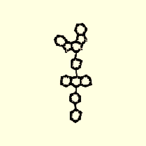 c1ccc(-c2ccc(-c3c4ccccc4c(-c4ccc(-c5nc6sc7ccccc7c6c6c5sc5ccccc56)cc4)c4ccccc34)cc2)cc1